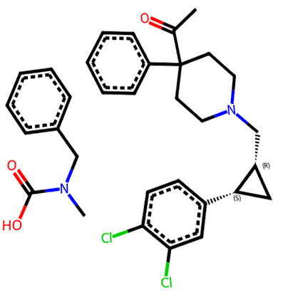 CC(=O)C1(c2ccccc2)CCN(C[C@@H]2C[C@@H]2c2ccc(Cl)c(Cl)c2)CC1.CN(Cc1ccccc1)C(=O)O